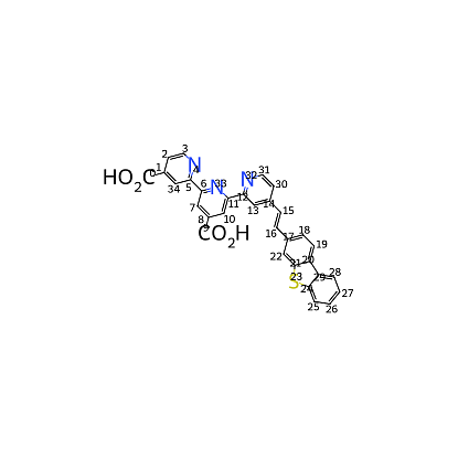 O=C(O)c1ccnc(-c2cc(C(=O)O)cc(-c3cc(/C=C/c4ccc5c(c4)sc4ccccc45)ccn3)n2)c1